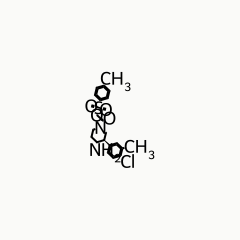 Cc1ccc(S(=O)(=O)OC(=O)N2CC[C@@H](N)[C@H](c3ccc(Cl)c(C)c3)C2)cc1